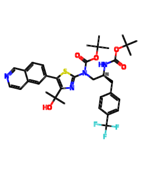 CC(C)(C)OC(=O)N[C@@H](Cc1ccc(C(F)(F)F)cc1)CN(C(=O)OC(C)(C)C)c1nc(C(C)(C)O)c(-c2ccc3cnccc3c2)s1